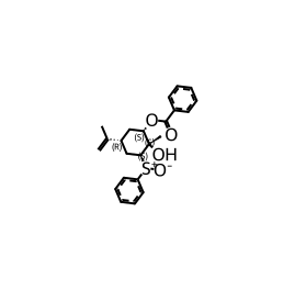 C=C(C)[C@@H]1C[C@H](OC(=O)c2ccccc2)[C@](C)(O)[C@@H]([S+]([O-])c2ccccc2)C1